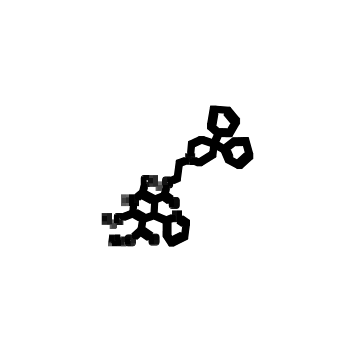 COC(=O)C1=C(C)NC(C)=C(C(=O)OCCN2CCC(c3ccccc3)(c3ccccc3)CC2)C1c1ccccn1